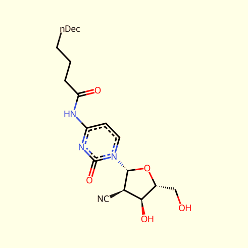 CCCCCCCCCCCCCC(=O)Nc1ccn([C@@H]2O[C@H](CO)[C@@H](O)[C@H]2C#N)c(=O)n1